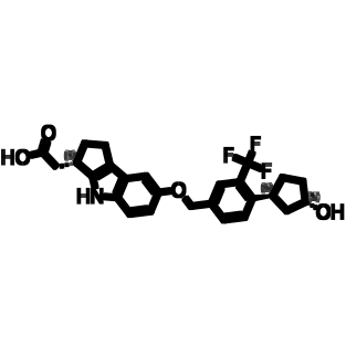 O=C(O)C[C@@H]1CCc2c1[nH]c1ccc(OCc3ccc([C@H]4CC[C@H](O)C4)c(C(F)(F)F)c3)cc21